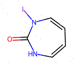 O=C1NC=CC=CN1I